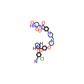 N#Cc1ccc(O[C@H]2C[C@H]3CC[C@@H](C2)N3C(=O)c2ccc(OC3CCN(CC4CCN(c5ccc6c(c5)C(=O)N(C5CCC(=O)NC5=O)C6=O)CC4)CC3)cc2)cc1Cl